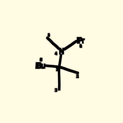 CCC(C)C(C)(C)N(C)C(C)C